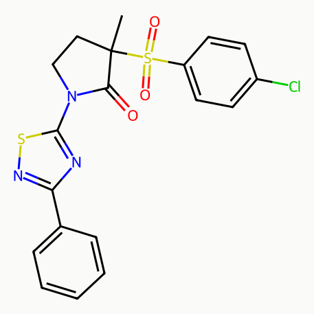 CC1(S(=O)(=O)c2ccc(Cl)cc2)CCN(c2nc(-c3ccccc3)ns2)C1=O